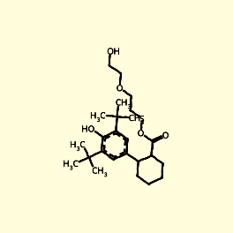 CC(C)(C)c1cc(C2CCCCC2C(=O)OSCCOCCO)cc(C(C)(C)C)c1O